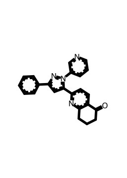 O=C1CCCc2nc(-c3cc(-c4ccccc4)nn3-c3cccnc3)ccc21